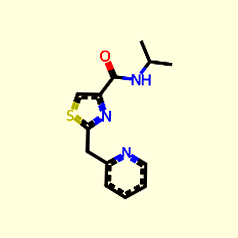 CC(C)NC(=O)c1csc(Cc2ccccn2)n1